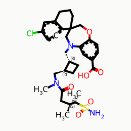 C[C@@H](CC(=O)N(C)C[C@@H]1CC[C@H]1CN1CC2(CCCc3cc(Cl)ccc32)COc2ccc(C(=O)O)cc21)[C@H](C)S(N)(=O)=O